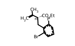 C=C(C)[C@@H](Cc1c(F)cccc1Br)C(=O)OCC